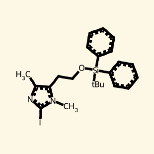 Cc1nc(I)n(C)c1CCO[Si](c1ccccc1)(c1ccccc1)C(C)(C)C